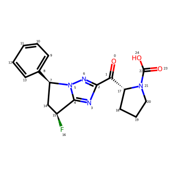 O=C(c1nc2n(n1)[C@H](c1ccccc1)C[C@@H]2F)[C@H]1CCCN1C(=O)O